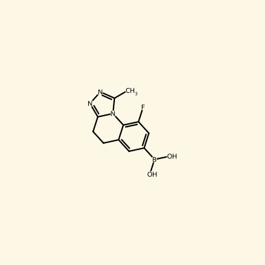 Cc1nnc2n1-c1c(F)cc(B(O)O)cc1CC2